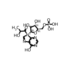 CC(O)C(=O)[N+]1([C@@H]2O[C@H](COP(=O)(O)O)[C@@H](O)[C@H]2O)C=Nc2c(O)ncnc21